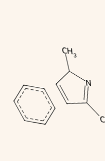 CC1=NC(C)C=C1.c1ccccc1